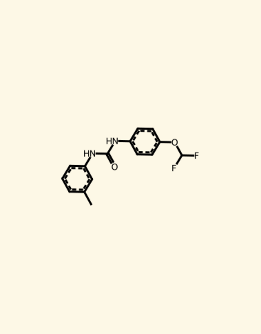 Cc1cccc(NC(=O)Nc2ccc(OC(F)F)cc2)c1